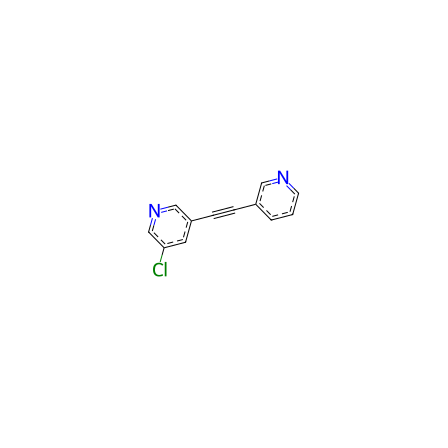 Clc1cncc(C#Cc2cccnc2)c1